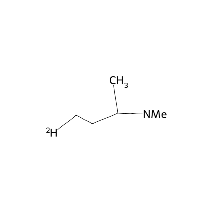 [2H]CCC(C)NC